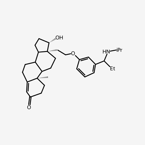 CCC(NC(C)C)c1cccc(OCC[C@]23CCC4C(CCC5=CC(=O)CC[C@@]54C)C2CC[C@@H]3O)c1